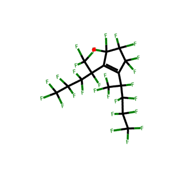 FC(F)(F)C(F)(F)C(F)(F)C(F)(C1=C(C(F)(C(F)(F)F)C(F)(F)C(F)(F)C(F)(F)F)C(F)(F)C(F)(F)C1(F)F)C(F)(F)F